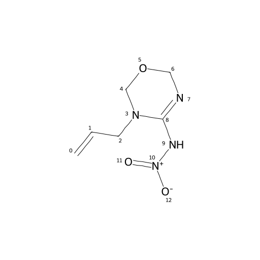 C=CCN1COCN=C1N[N+](=O)[O-]